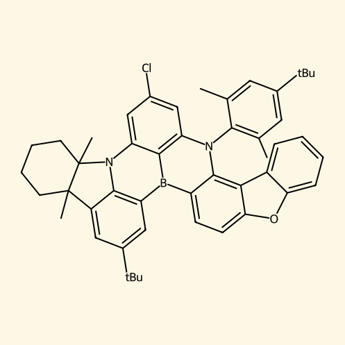 Cc1cc(C(C)(C)C)cc(C)c1N1c2cc(Cl)cc3c2B(c2cc(C(C)(C)C)cc4c2N3C2(C)CCCCC42C)c2ccc3oc4ccccc4c3c21